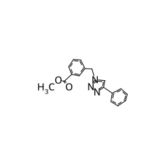 COC(=O)c1cccc(Cn2cc(-c3ccccc3)nn2)c1